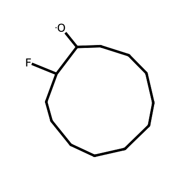 [O]C1CCCCCCCCCCC1F